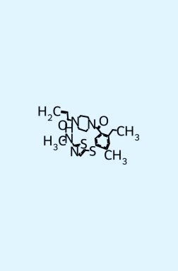 C=CC(=O)N1CCN(C(=O)c2cc(Sc3cnc(NC)s3)c(C)cc2CC)CC1